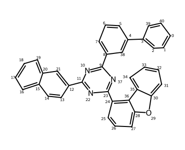 c1ccc(-c2cccc(-c3nc(-c4ccc5ccccc5c4)nc(-c4cccc5oc6ccccc6c45)n3)c2)cc1